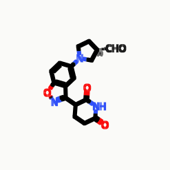 O=C[C@H]1CCN(c2ccc3onc(C4CCC(=O)NC4=O)c3c2)C1